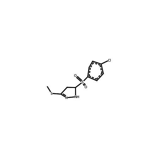 CSC1=NNC(S(=O)(=O)c2ccc(Cl)cc2)C1